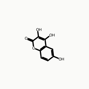 O=c1oc2ccc(O)cc2c(O)c1O